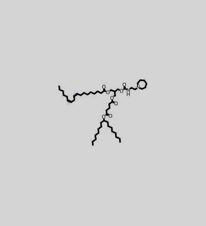 CCCCC/C=C\C/C=C\CCCCCCCC(=O)OCC(COC(=O)CCCC(=O)OC(CCCCCCCC)CCCCCCCC)COC(=O)NCCN1CCCCCC1